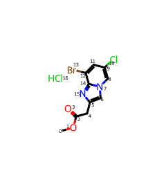 COC(=O)Cc1cn2cc(Cl)cc(Br)c2n1.Cl